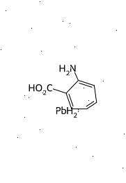 Nc1ccccc1C(=O)O.[PbH2]